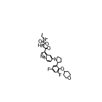 CCN(C)S(=O)(=O)NC(=O)c1cnn2ccc(N3CCCC3c3cc(F)cc(F)c3OC3CCOCC3)cc12